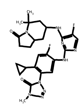 Cn1nnn(-c2cc(Nc3ncc(F)c(NC4CC5CCC(=O)N5C(C)(C)C4)n3)c(F)cc2C2CC2)c1=O